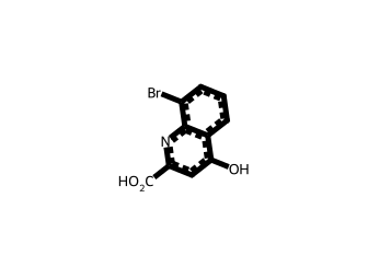 O=C(O)c1cc(O)c2cccc(Br)c2n1